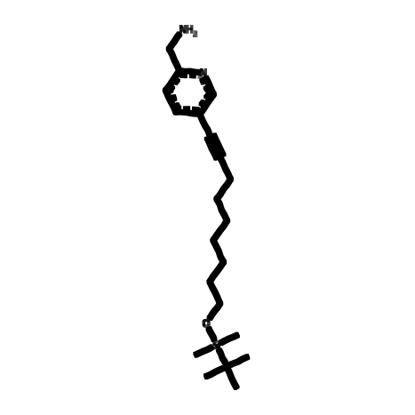 CC(C)(C)[Si](C)(C)OCCCCCCCC#Cc1ccc(CN)nc1